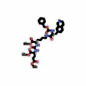 CC(C)(C)OC(=O)CC[C@H](NC(=O)N[C@@H](CCCCNC(=O)[C@@H](Cc1ccc2ccncc2c1)NC(=O)OCc1ccccc1)C(=O)OC(C)(C)C)C(=O)OC(C)(C)C